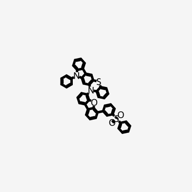 O=S(=O)(c1ccccc1)c1cccc(-c2cccc3c2oc2c(N4c5ccccc5Sc5cc6c7ccccc7n(-c7ccccc7)c6cc54)cccc23)c1